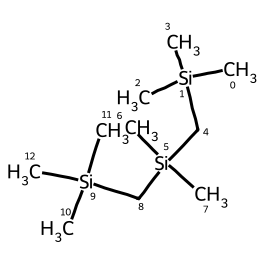 C[Si](C)(C)C[Si](C)(C)C[Si](C)(C)C